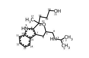 CC(C)NCC1Cc2c([nH]c3ccccc23)C(C)(CCCO)O1